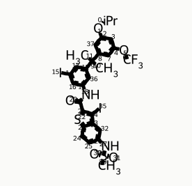 CC(C)Oc1cc(OC(F)(F)F)cc(C(C)(C)c2cc(I)cc(NC(=O)c3sc4ccc(NS(C)(=O)=O)cc4c3I)c2)c1